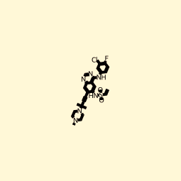 C=CS(=O)(=O)Nc1cc2c(Nc3ccc(F)c(Cl)c3)ncnc2cc1C#CC(C)(C)N1CCN(C)CC1